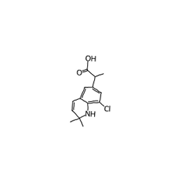 CC(C(=O)O)c1cc(Cl)c2c(c1)C=CC(C)(C)N2